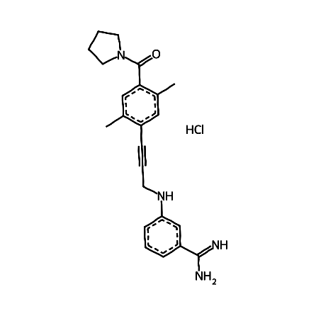 Cc1cc(C(=O)N2CCCC2)c(C)cc1C#CCNc1cccc(C(=N)N)c1.Cl